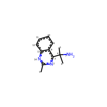 Cc1nc(C(C)(C)N)c2ccccc2n1